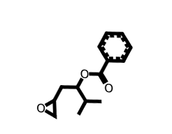 CC(C)C(CC1CO1)OC(=O)c1ccccc1